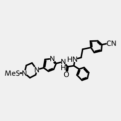 CSN1CCN(c2ccc(NC(=O)C(NCCc3ccc(C#N)cc3)c3ccccc3)nc2)CC1